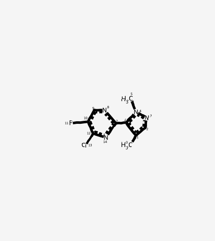 Cc1cnn(C)c1-c1ncc(F)c(Cl)n1